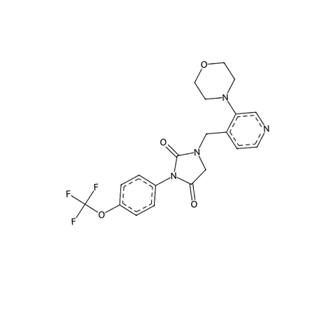 O=C1CN(Cc2ccncc2N2CCOCC2)C(=O)N1c1ccc(OC(F)(F)F)cc1